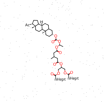 CCCCCCCC(=O)OCC(COC(=O)CCCCCCC)OC(=O)CC(C)CC(=O)OC(C)OC(=O)O[C@@H]1CC[C@@]2(C)C(CC[C@@H]3C2CC[C@@]2(C)C3CC[C@@H]2C(C)=O)C1